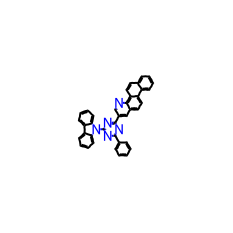 c1ccc(-c2nc(-c3cnc4c(ccc5c6ccccc6ccc54)c3)nc(-n3c4ccccc4c4ccccc43)n2)cc1